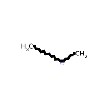 C=CC=CCC/C=C\CCCCCCCCCCCC